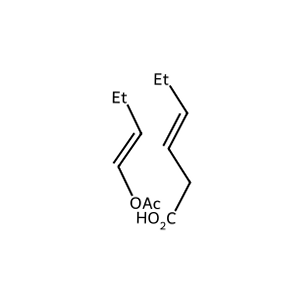 CCC=CCC(=O)O.CCC=COC(C)=O